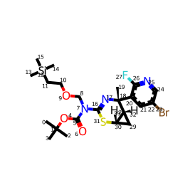 CC(C)(C)OC(=O)N(COCC[Si](C)(C)C)C1=N[C@](C)(c2cc(Br)cnc2F)[C@@H]2C[C@@H]2S1